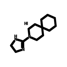 C1CCC2(CC1)CCN(C1=NCCN1)CC2.I